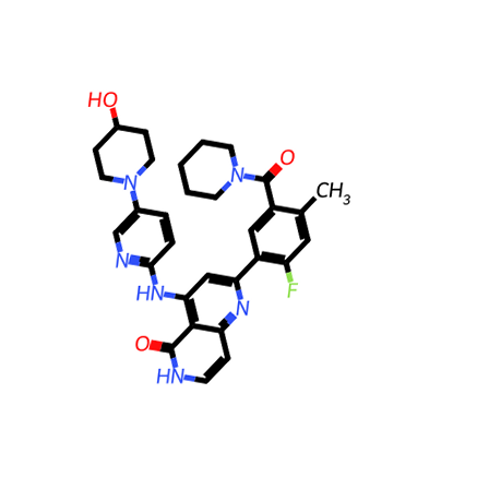 Cc1cc(F)c(-c2cc(Nc3ccc(N4CCC(O)CC4)cn3)c3c(=O)[nH]ccc3n2)cc1C(=O)N1CCCCC1